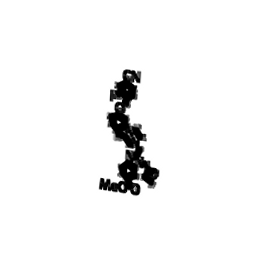 COC(=O)c1ccc2nc(CN3CCN4c5cc(OCc6ccc(C#N)cc6F)ccc5CC4C3)n(C[C@@H]3CCO3)c2c1